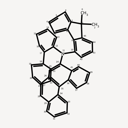 CC1(C)c2ccccc2-c2c(N(c3ccccc3-c3ccccc3)c3cc4ccc5ccccc5c4c4ccccc34)cccc21